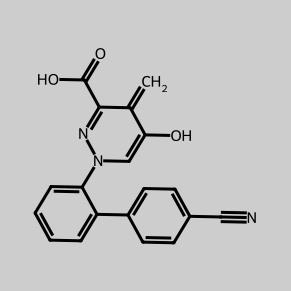 C=C1C(O)=CN(c2ccccc2-c2ccc(C#N)cc2)N=C1C(=O)O